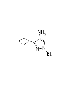 CCn1cc(N)c(C2CCC2)n1